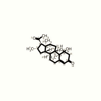 CC(=O)[C@@H]1[C@@H](C)C[C@H]2[C@@H]3CCC4=CC(=O)CC(O)(O)[C@]4(C)[C@H]3CC[C@]12C